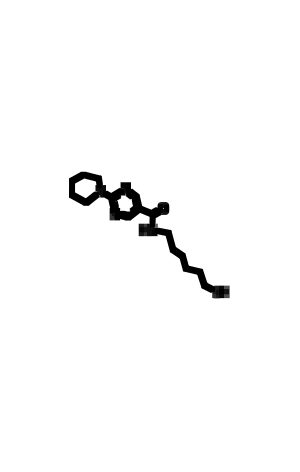 O=C(NCCCCCCS)c1cnc(N2CCCCC2)nc1